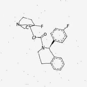 O=C(OC1CN2CCC1(F)CC2)N1CCc2ccccc2[C@@H]1c1ccc(F)cc1